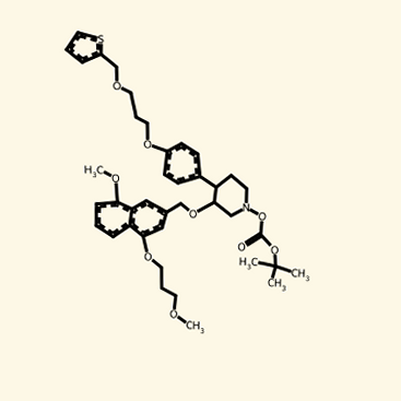 COCCCOc1cc(COC2CN(OC(=O)OC(C)(C)C)CCC2c2ccc(OCCCOCc3cccs3)cc2)cc2c(OC)cccc12